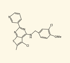 COc1ccc(CNc2nc(-c3cccnc3)nc3sc(C)c(Cl)c23)cc1Cl